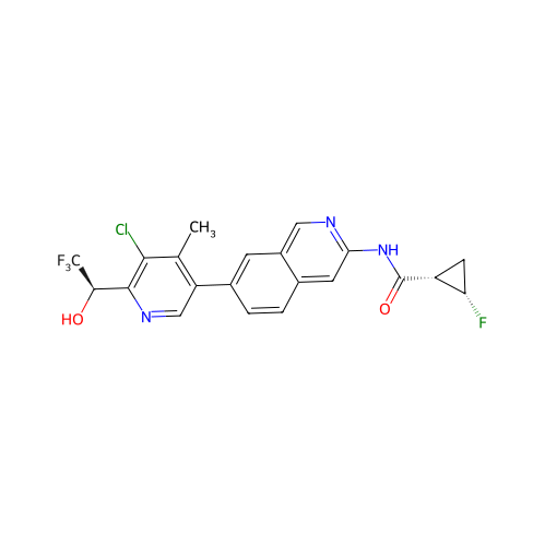 Cc1c(-c2ccc3cc(NC(=O)[C@@H]4C[C@@H]4F)ncc3c2)cnc([C@@H](O)C(F)(F)F)c1Cl